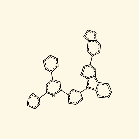 c1ccc(-c2cc(-c3ccccc3)nc(-c3cccc(-n4c5ccccc5c5cc(-c6ccc7sccc7c6)ccc54)c3)n2)cc1